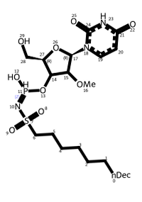 CCCCCCCCCCCCCCCCS(=O)(=O)/N=[PH](/O)OC1C(OC)[C@H](n2ccc(=O)[nH]c2=O)O[C@@H]1CO